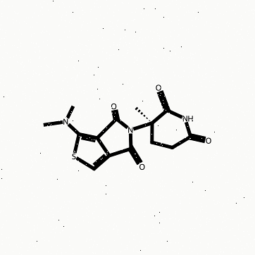 CN(C)c1scc2c1C(=O)N([C@]1(C)CCC(=O)NC1=O)C2=O